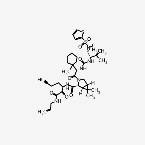 C#CCCC(NC(=O)[C@@H]1[C@@H]2[C@H](CN1C(=O)[C@@H](NC(=O)N[C@H](CN(C)S(=O)(=O)c1cccs1)C(=C)C)C1(C)CCCCC1)C2(C)C)C(=O)C(=O)NCC=C